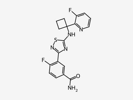 NC(=O)c1ccc(F)c(-c2nsc(NC3(c4ncccc4F)CCC3)n2)c1